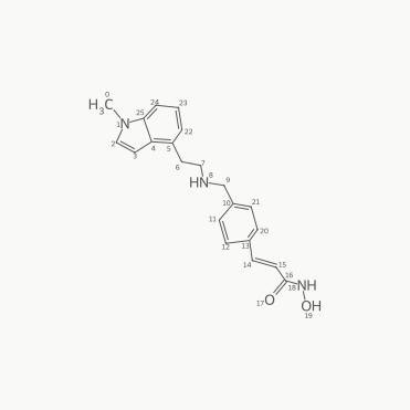 Cn1ccc2c(CCNCc3ccc(/C=C/C(=O)NO)cc3)cccc21